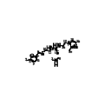 CNC.Cc1ccc(CSCCNC(=S)NCCn2ccnc2C)o1